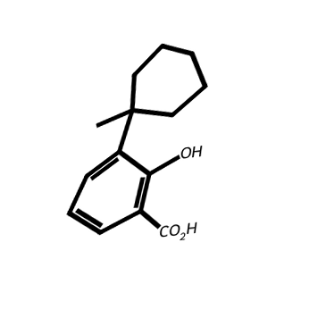 CC1(c2cccc(C(=O)O)c2O)CCCCC1